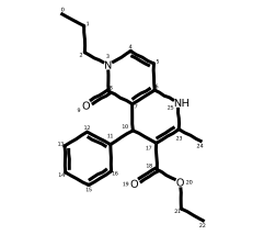 CCCn1ccc2c(c1=O)C(c1ccccc1)C(C(=O)OCC)=C(C)N2